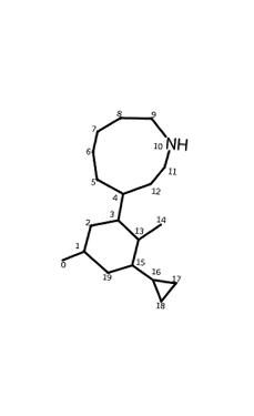 CC1CC(C2CCCCCNCC2)C(C)C(C2CC2)C1